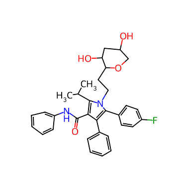 CC(C)c1c(C(=O)Nc2ccccc2)c(-c2ccccc2)c(-c2ccc(F)cc2)n1CCC1OCC(O)CC1O